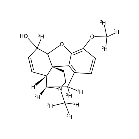 [2H]C([2H])([2H])Oc1ccc2c3c1OC1C([2H])(O)C=C[C@@H]4[C@@]31CCN(C([2H])([2H])[2H])[C@]4([2H])C2([2H])[2H]